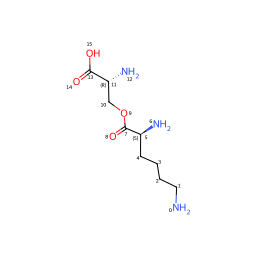 NCCCC[C@H](N)C(=O)OC[C@@H](N)C(=O)O